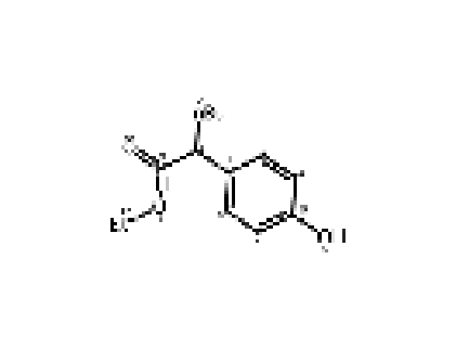 CCCCC(c1ccc(O)cc1)[PH](=O)OCC